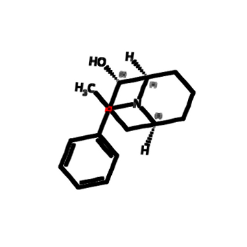 CC(c1ccccc1)N1[C@H]2CCC[C@@H]1[C@@H](O)CC2